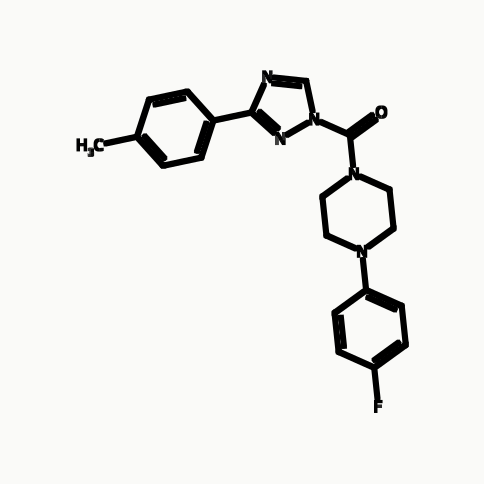 Cc1ccc(-c2ncn(C(=O)N3CCN(c4ccc(F)cc4)CC3)n2)cc1